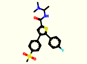 CC(NC(=O)c1cc(-c2ccc(S(C)(=O)=O)cc2)c(-c2ccc(F)cc2)s1)N(C)C